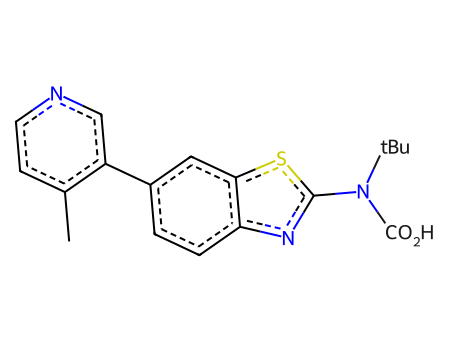 Cc1ccncc1-c1ccc2nc(N(C(=O)O)C(C)(C)C)sc2c1